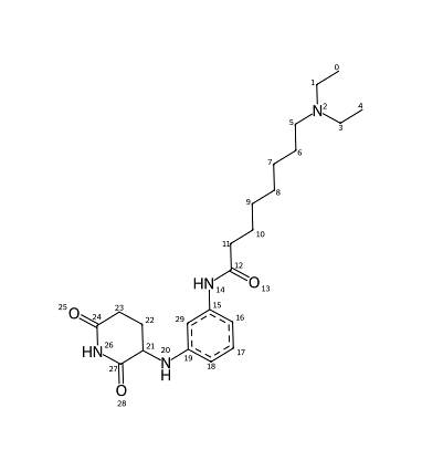 CCN(CC)CCCCCCCC(=O)Nc1cccc(NC2CCC(=O)NC2=O)c1